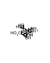 N[C@@H](Cc1ccc(O)c(O)c1)C(=O)O.Nc1nc2c(ncn2COC(CO)CO)c(=O)[nH]1